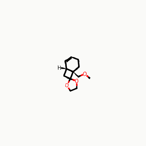 COC[C@]12CCC=C[C@H]1CC21OCCO1